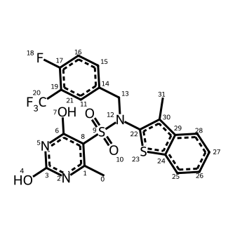 Cc1nc(O)nc(O)c1S(=O)(=O)N(Cc1ccc(F)c(C(F)(F)F)c1)c1sc2ccccc2c1C